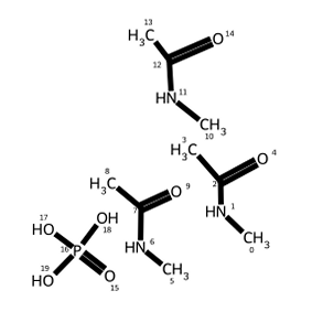 CNC(C)=O.CNC(C)=O.CNC(C)=O.O=P(O)(O)O